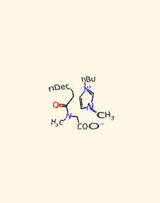 CCCCCCCCCCCC(=O)N(C)CC(=O)[O-].CCCC[n+]1ccn(C)c1